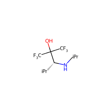 CC(C)N[C@H](C(C)C)C(O)(C(F)(F)F)C(F)(F)F